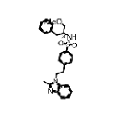 COC[C@H](Cc1ccccc1)NS(=O)(=O)c1ccc(CCn2c(C)nc3ccccc32)cc1